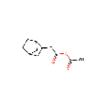 CC(=O)OC(=O)CC1CC2CCC1C2